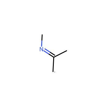 [CH2]C(C)=NC